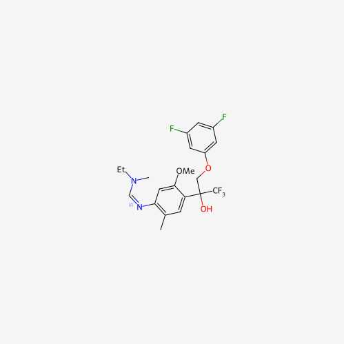 CCN(C)/C=N\c1cc(OC)c(C(O)(COc2cc(F)cc(F)c2)C(F)(F)F)cc1C